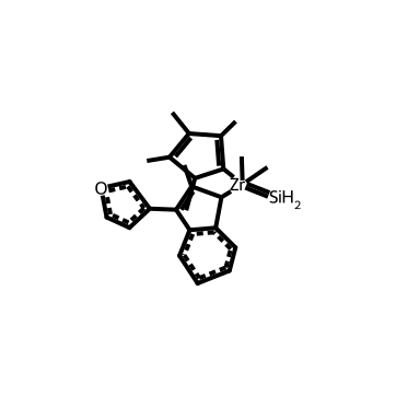 CC1=C(C)C(C)[C]([Zr]([CH3])([CH3])(=[SiH2])[CH]2C(C)=C(c3ccoc3)c3ccccc32)=C1C